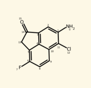 Nc1cc2c3c(c(F)ccc3c1Cl)CC2=O